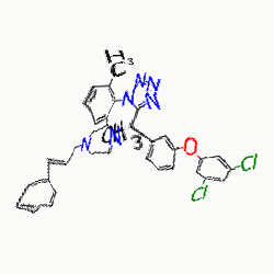 Cc1cccc(C)c1-n1nnnc1[C@H](c1cccc(Oc2cc(Cl)cc(Cl)c2)c1)N1CCN(C/C=C/c2ccccc2)CC1